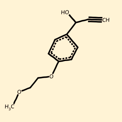 C#CC(O)c1ccc(OCCOC)cc1